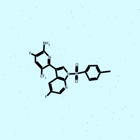 Cc1ccc(S(=O)(=O)n2cc(-c3nc(N)c(F)cc3C(F)(F)F)c3cc(F)cnc32)cc1